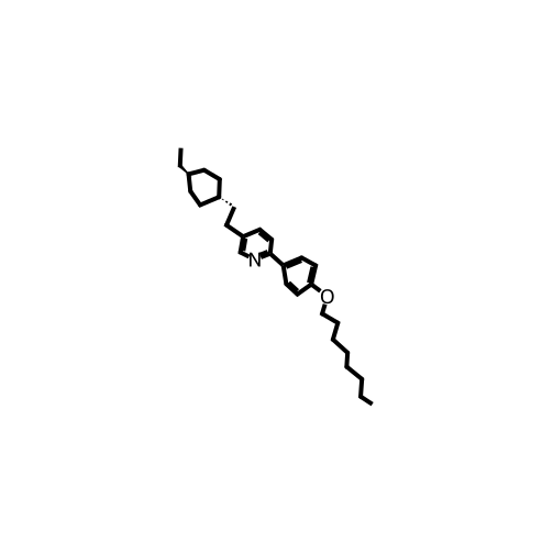 CCCCCCCCOc1ccc(-c2ccc(CC[C@H]3CC[C@H](CC)CC3)cn2)cc1